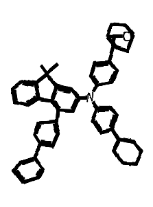 CC1(C)c2ccccc2-c2c(-c3ccc(-c4ccccc4)cc3)cc(N(c3ccc(C4CCCCC4)cc3)c3ccc(C4CC5CCC4CC5)cc3)cc21